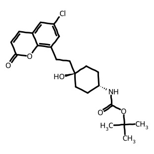 CC(C)(C)OC(=O)N[C@H]1CC[C@@](O)(CCc2cc(Cl)cc3ccc(=O)oc23)CC1